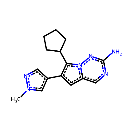 Cn1cc(-c2cc3cnc(N)nn3c2C2CCCC2)cn1